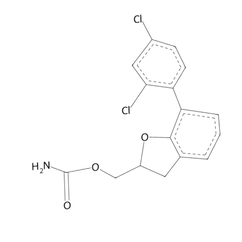 NC(=O)OCC1Cc2cccc(-c3ccc(Cl)cc3Cl)c2O1